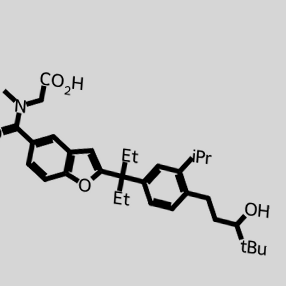 CCC(CC)(c1ccc(CCC(O)C(C)(C)C)c(C(C)C)c1)c1cc2cc(C(=O)N(C)CC(=O)O)ccc2o1